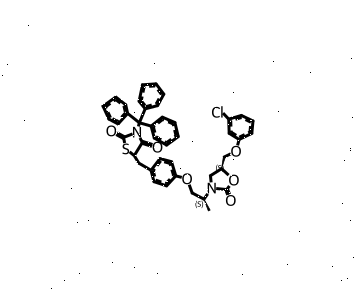 C[C@@H](COc1ccc(CC2SC(=O)N(C(c3ccccc3)(c3ccccc3)c3ccccc3)C2=O)cc1)N1C[C@@H](COc2cccc(Cl)c2)OC1=O